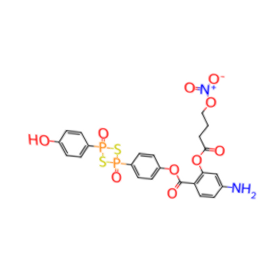 Nc1ccc(C(=O)Oc2ccc(P3(=O)SP(=O)(c4ccc(O)cc4)S3)cc2)c(OC(=O)CCCO[N+](=O)[O-])c1